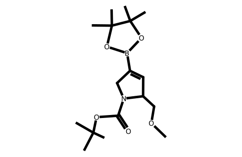 COCC1C=C(B2OC(C)(C)C(C)(C)O2)CN1C(=O)OC(C)(C)C